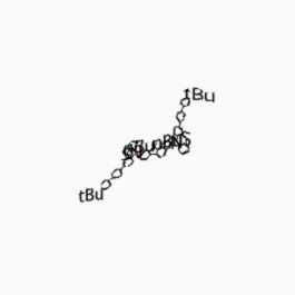 CCCCC1(CCCC)c2cc(N3c4ccccc4Sc4cc(-c5ccc(-c6ccc(C(C)(C)C)cc6)cc5)ccc43)ccc2-c2ccc3cc(N4c5ccccc5Sc5cc(-c6ccc(-c7ccc(C(C)(C)C)cc7)cc6)ccc54)ccc3c21